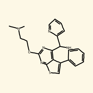 CN(C)CCOc1nc(C(N)c2ccccn2)c2c(-c3ccccc3)csc2n1